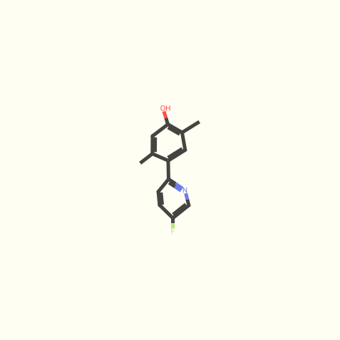 Cc1cc(-c2ccc(F)cn2)c(C)cc1O